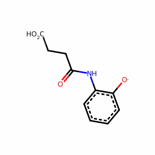 [O]c1ccccc1NC(=O)CCC(=O)O